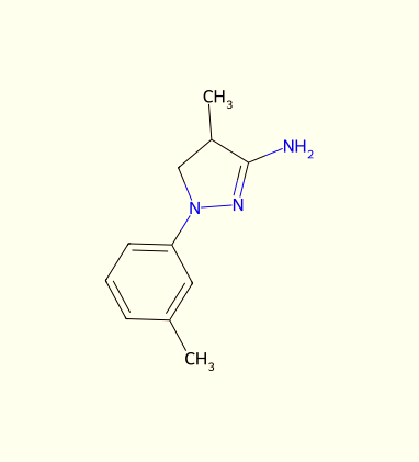 Cc1cccc(N2CC(C)C(N)=N2)c1